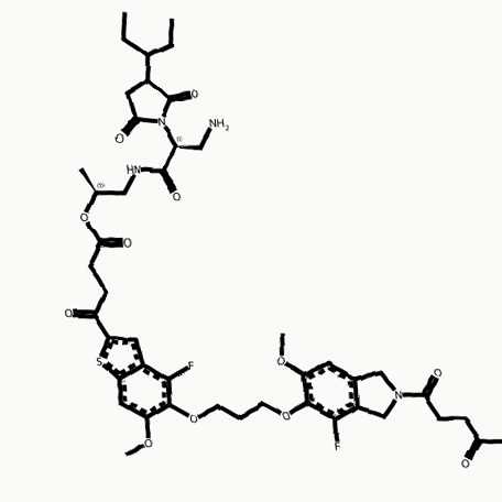 CCC(CC)C1CC(=O)N([C@@H](CN)C(=O)NC[C@H](C)OC(=O)CCC(=O)c2cc3c(F)c(OCCCOc4c(OC)cc5c(c4F)CN(C(=O)CCC(=O)O)C5)c(OC)cc3s2)C1=O